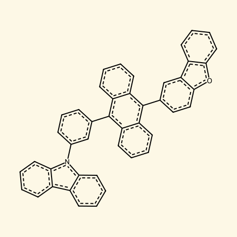 c1cc(-c2c3ccccc3c(-c3ccc4oc5ccccc5c4c3)c3ccccc23)cc(-n2c3ccccc3c3ccccc32)c1